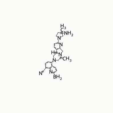 Bc1ccc2c(N3C[C@@H](C)N4Cc5nc(N6CC[C@](C)(N)C6)ccc5[C@H]4C3)ccc(C#N)c2n1